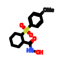 COc1ccc(S(=O)(=O)C2CCCCC2C(=O)NO)cc1